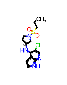 CCCS(=O)(=O)N1CC[C@H](Nc2c(Cl)cnc3[nH]ccc23)C1